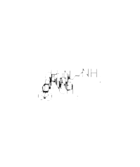 CC(NC(=O)C(N)CCCCN)NC(C)C(=O)c1ccc2c(c1)OCO2